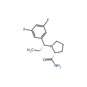 CC[C@H](c1cc(F)cc(F)c1)N1CCC[C@@H]1C(N)=O